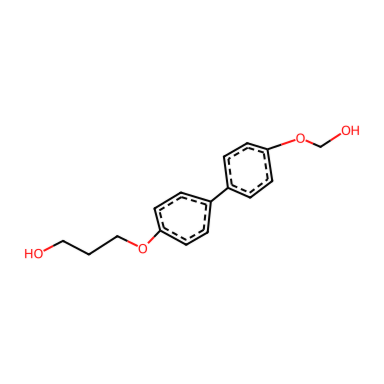 OCCCOc1ccc(-c2ccc(OCO)cc2)cc1